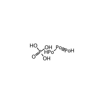 O=P(O)(O)O.[PoH][Po]#[PoH]